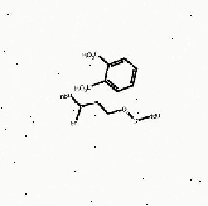 CCCCC(CC)CCOOC(C)(C)C.O=C(O)c1ccccc1C(=O)O